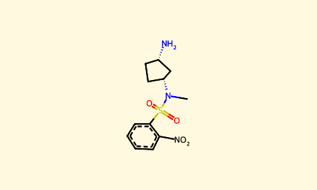 CN([C@@H]1CC[C@H](N)C1)S(=O)(=O)c1ccccc1[N+](=O)[O-]